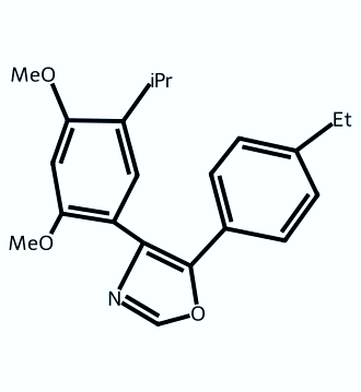 CCc1ccc(-c2ocnc2-c2cc(C(C)C)c(OC)cc2OC)cc1